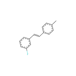 Cc1ccc(/C=C/c2cccc(F)c2)cc1